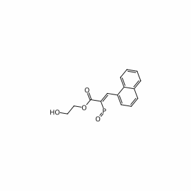 O=PC(=Cc1cccc2ccccc12)C(=O)OCCO